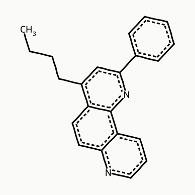 CCCCc1cc(-c2ccccc2)nc2c1ccc1ncccc12